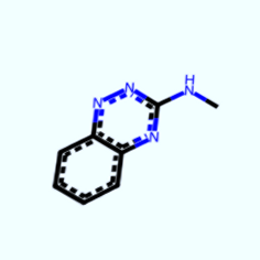 CNc1nnc2ccccc2n1